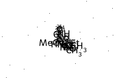 CCC1(C)CN(C2CCCCC2)c2nc(Nc3ccc(C(=O)NC4CCCCC4)cc3OC)ncc2N(C)C1=O